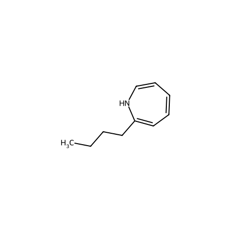 CCCCC1=CC=CC=CN1